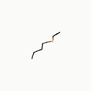 [CH2]CCCSCC